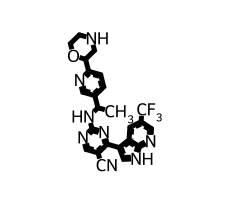 CC(Nc1ncc(C#N)c(-c2c[nH]c3ncc(C(F)(F)F)cc23)n1)c1ccc(C2CNCCO2)nc1